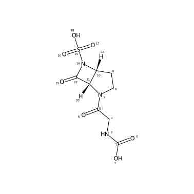 O=C(O)NCC(=O)N1CC[C@@H]2[C@H]1C(=O)N2S(=O)(=O)O